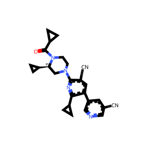 N#Cc1cncc(-c2cc(C#N)c(N3CCN(C(=O)C4CC4)[C@H](C4CC4)C3)nc2C2CC2)c1